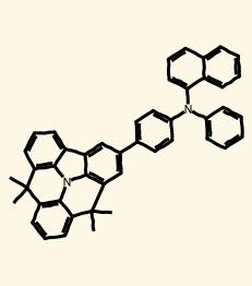 CC1(C)c2cccc3c2-n2c4c1cccc4c1cc(-c4ccc(N(c5ccccc5)c5cccc6ccccc56)cc4)cc(c12)C3(C)C